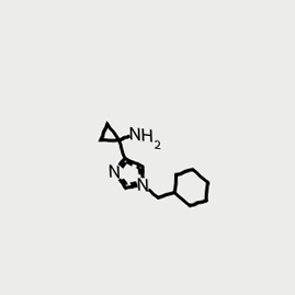 NC1(c2cn(CC3CCCCC3)cn2)CC1